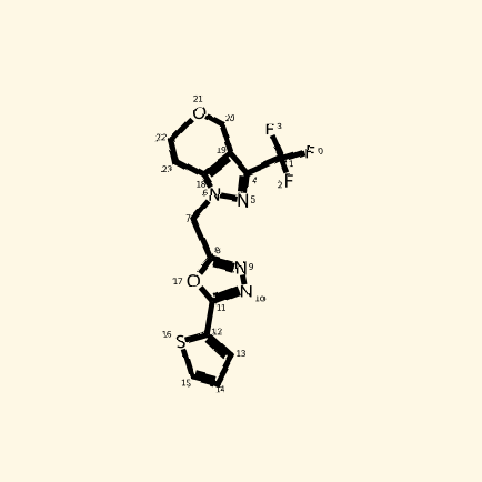 FC(F)(F)c1nn(Cc2nnc(-c3cccs3)o2)c2c1COCC2